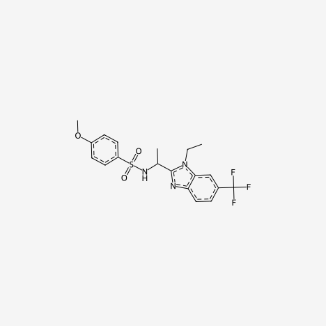 CCn1c(C(C)NS(=O)(=O)c2ccc(OC)cc2)nc2ccc(C(F)(F)F)cc21